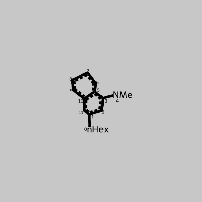 CCCCCCc1cc(NC)c2ccccc2c1